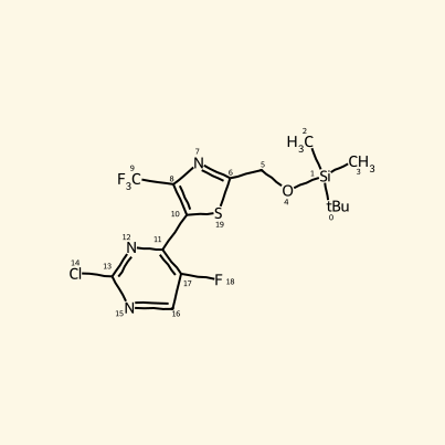 CC(C)(C)[Si](C)(C)OCc1nc(C(F)(F)F)c(-c2nc(Cl)ncc2F)s1